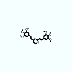 COc1cc(C=Cc2ccnc(C=Cc3cc(OC)c(OC)c(OC)c3)n2)cc(OC)c1OC